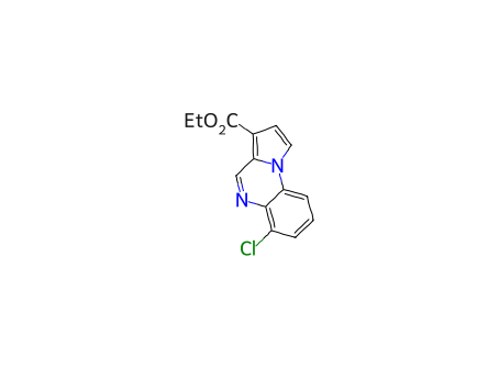 CCOC(=O)c1ccn2c1cnc1c(Cl)cccc12